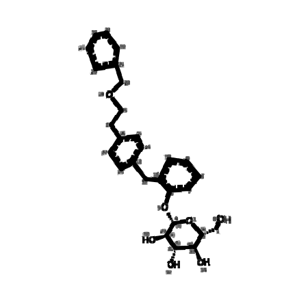 OC[C@H]1O[C@@H](Oc2ccccc2Cc2ccc(CCOCc3ccccc3)cc2)[C@H](O)[C@@H](O)[C@@H]1O